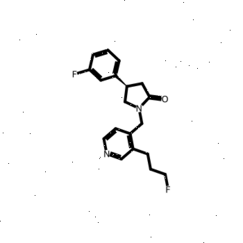 O=C1C[C@H](c2cccc(F)c2)CN1Cc1ccncc1CCCF